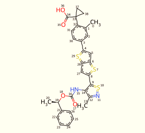 Cc1cc(-c2cc3sc(-c4snc(C)c4NC(=O)O[C@H](C)c4ccccc4)cc3s2)ccc1C1(C(=O)O)CC1